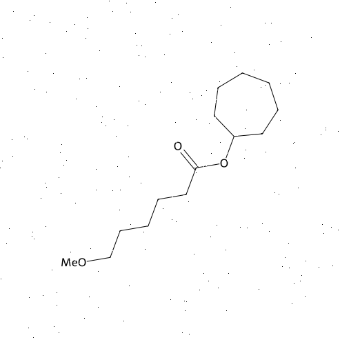 COCCCCCC(=O)OC1CCCCCC1